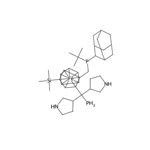 CC(C)(C)P(C[C]12[CH]3[C]4([Si](C)(C)C)[CH]5[C]1(C(P)(C1CCNC1)C1CCNC1)[Fe]35241678[CH]2[CH]1[CH]6[CH]7[CH]28)C1C2CC3CC(C2)CC1C3